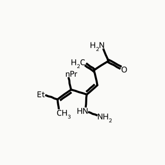 C=C(/C=C(NN)\C(CCC)=C(/C)CC)C(N)=O